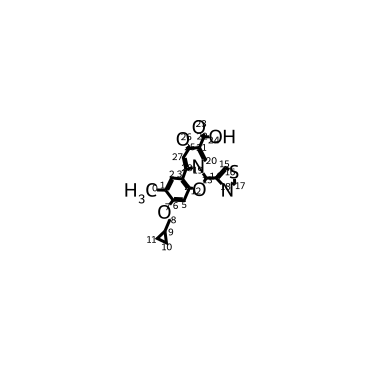 Cc1cc2c(cc1OCC1CC1)OC(c1cscn1)n1cc(C(=O)O)c(=O)cc1-2